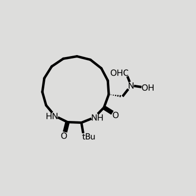 CC(C)(C)C1NC(=O)[C@@H](CN(O)C=O)CCCCCCCCCNC1=O